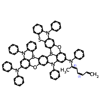 C=C/C=C\C=C(/C)N(c1ccccc1)c1cc2c3c(c1)N(c1ccccc1)c1cc4c(cc1B3c1cc3c(cc1O2)N(c1ccccc1)c1ccccc1S3)B1c2ccccc2N(c2ccccc2)c2cc(N(c3ccccc3)c3ccccc3)cc(c21)O4